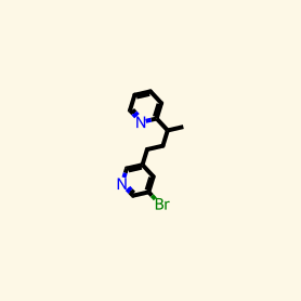 CC(CCc1cncc(Br)c1)c1ccccn1